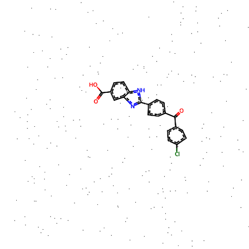 O=C(O)c1ccc2[nH]c(-c3ccc(C(=O)c4ccc(Cl)cc4)cc3)nc2c1